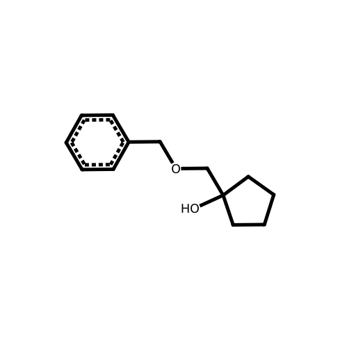 OC1(COCc2ccccc2)CCCC1